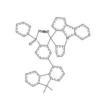 CC1(C)c2ccccc2-c2c(-c3ccc4c(c3)C3(c5ccccc5-n5c6ccccc6c6cccc3c65)c3ccccc3P4(=O)c3ccccc3)cccc21